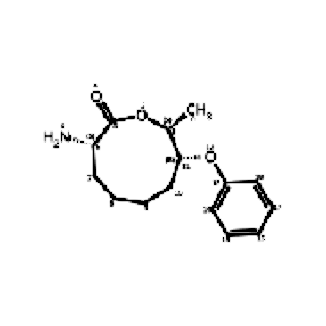 C[C@@H]1OC(=O)[C@@H](N)CCCC[C@H]1Oc1ccccc1